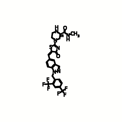 CNC(=O)[C@H]1CN(C2=NC(=O)C(=Cc3ccc4c(cnn4Cc4ccc(C(F)(F)F)cc4C(F)(F)F)c3)S2)CCN1